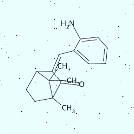 CC12CCC(/C(=C/c3ccccc3N)C1=O)C2(C)C